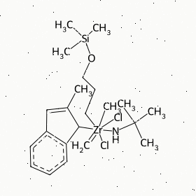 [CH2]=[Zr]([CH3])([Cl])([Cl])([CH2]CCO[Si](C)(C)C)([NH]C(C)(C)C)[CH]1C(C)=Cc2ccccc21